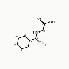 CC(NCC(=O)O)C1CCCCC1